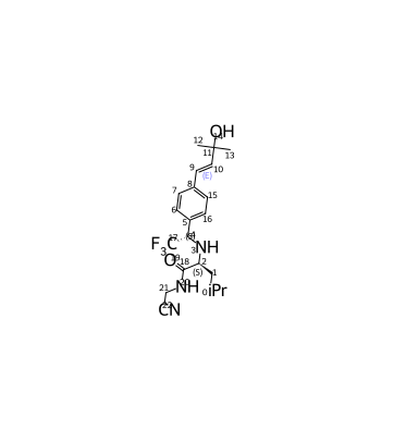 CC(C)C[C@H](N[C@@H](c1ccc(/C=C/C(C)(C)O)cc1)C(F)(F)F)C(=O)NCC#N